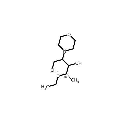 CCO[C@@H](C)C(O)C(CC)N1CCOCC1